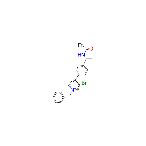 CCC(=O)NC(C)c1ccc(-c2cc[n+](Cc3ccccc3)cc2)cc1.[Br-]